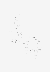 CCCOC[C@@H](C(=O)N(C)CC(=O)N[C@@H](CCc1ccc(C(F)(F)F)c(F)c1)C(=O)N1CCC[C@H]1C(=O)NC1(C(=O)N(C)C(C(=O)N(C)[C@@H](CSCC(=O)N(C)[C@@H](CC(C)C)C(N)=O)C(=O)N(C)C)C2CCCC2)CCCC1)N(C)C(=O)[C@@H]1CCN1C(=O)[C@H](C)N(C)C(=O)C[C@@H](C)CC